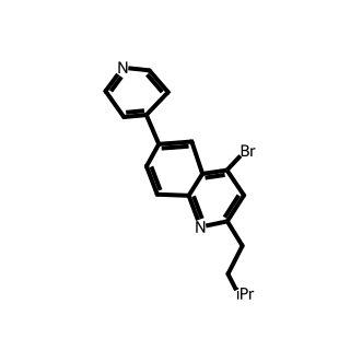 CC(C)CCc1cc(Br)c2cc(-c3ccncc3)ccc2n1